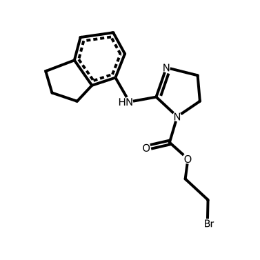 O=C(OCCBr)N1CCN=C1Nc1cccc2c1CCC2